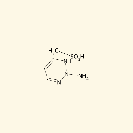 CS(=O)(=O)O.NN1N=CC=CN1